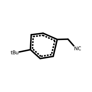 [C-]#[N+]Cc1ccc(C(C)(C)C)cc1